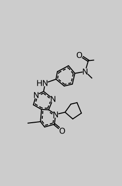 CC(=O)N(C)c1ccc(Nc2ncc3c(C)cc(=O)n(C4CCCC4)c3n2)cc1